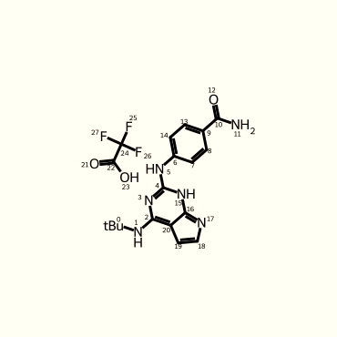 CC(C)(C)Nc1nc(Nc2ccc(C(N)=O)cc2)[nH]c2nccc1-2.O=C(O)C(F)(F)F